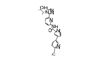 CC(O)C(C)n1cnnc1-c1cccc(NC(=O)c2cc(-c3ccc(C4CC4)nc3)ccn2)n1